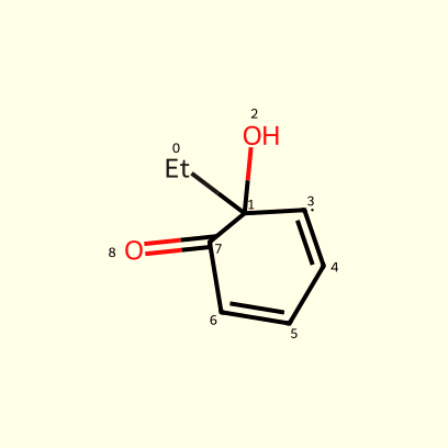 CCC1(O)[C]=CC=CC1=O